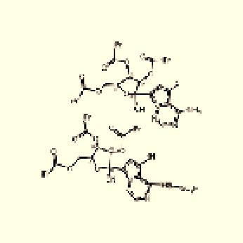 O=S(=O)(O)O.[2H]c1cc([C@]2(C#N)O[C@@H](COC(=O)C(C)C)[C@@H](OC(=O)C(C)C)[C@H]2OC(=O)C(C)C)n2ncnc(N)c12.[2H]c1cc([C@]2(C#N)O[C@@H](COC(=O)C(C)C)[C@@H](OC(=O)C(C)C)[C@H]2OC(=O)C(C)C)n2ncnc(N)c12